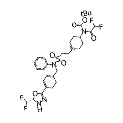 CC(C)(C)OC(=O)N(C(=O)C(F)F)C1CCN(CCS(=O)(=O)N(CC2=CC=C(C3=NN[C@H](C(F)F)O3)CC2)c2ccccc2)CC1